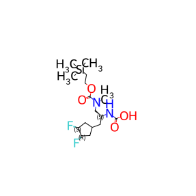 CN(C[C@H](CC1C[C@@H](F)[C@@H](F)C1)NC(=O)O)C(=O)OCC[Si](C)(C)C